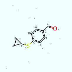 O=Cc1ccc(SC2CC2)cc1